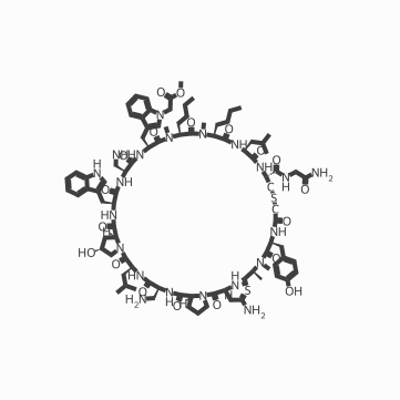 CCCC[C@H]1C(=O)N(C)[C@@H](CCCC)C(=O)N[C@@H](CC(C)C)C(=O)N[C@H](C(=O)NCC(N)=O)CSCC(=O)N[C@@H](Cc2ccc(O)cc2)C(=O)N(C)[C@@H](C)C2=S=C(N)C[C@H](N2)C(=O)N2CCC[C@H]2C(=O)N[C@@H](CN)C(=O)N[C@@H](CC(C)C)C(=O)N2C[C@H](O)C[C@H]2C(=O)N[C@@H](Cc2c[nH]c3ccccc23)C(=O)N[C@@H](CN)C(=O)N[C@@H](Cc2cn(CC(=O)OC)c3ccccc23)C(=O)N1C